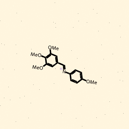 COc1ccc(/N=C/c2cc(OC)c(OC)c(OC)c2)cc1